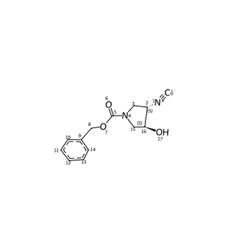 [C-]#[N+][C@H]1CN(C(=O)OCc2ccccc2)C[C@@H]1O